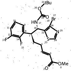 COC(=O)C=CCC[C@@H](c1cccc(F)c1F)[C@H](NC(=O)OC(C)(C)C)c1scnc1Br